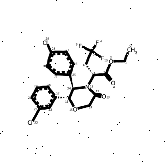 CCOC(=O)[C@@H](CC(F)(F)F)N1C(=O)CO[C@H](c2cccc(Cl)c2)[C@H]1c1ccc(Cl)cc1